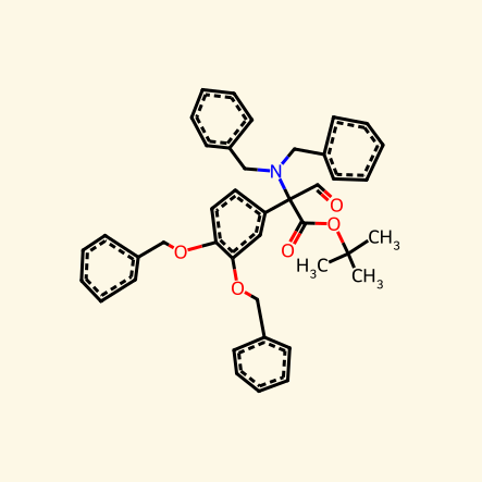 CC(C)(C)OC(=O)C(C=O)(c1ccc(OCc2ccccc2)c(OCc2ccccc2)c1)N(Cc1ccccc1)Cc1ccccc1